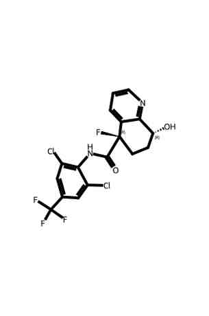 O=C(Nc1c(Cl)cc(C(F)(F)F)cc1Cl)[C@@]1(F)CC[C@@H](O)c2ncccc21